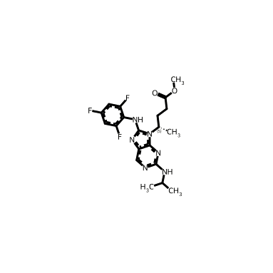 COC(=O)CC[C@H](C)n1c(Nc2c(F)cc(F)cc2F)nc2cnc(NC(C)C)nc21